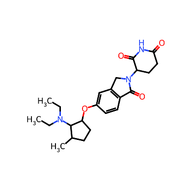 CCN(CC)C1C(C)CCC1Oc1ccc2c(c1)CN(C1CCC(=O)NC1=O)C2=O